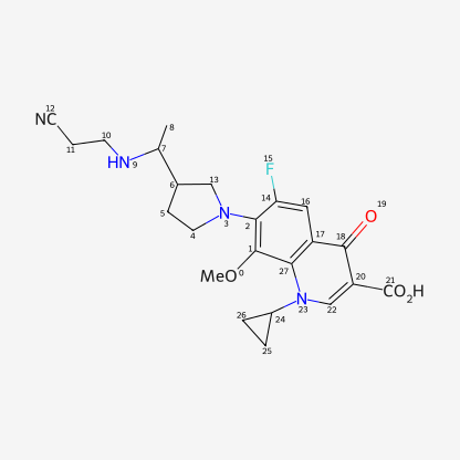 COc1c(N2CCC(C(C)NCCC#N)C2)c(F)cc2c(=O)c(C(=O)O)cn(C3CC3)c12